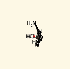 CN1CCC[C@H]1c1cc2cnc(NC(=O)c3ccc4c(cnn4CCCCCCCCN)c3)cc2[nH]1.Cl.Cl